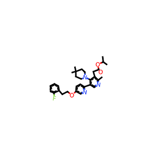 Cc1ncc(-c2ccc(OCCc3ccccc3F)cn2)c(N2CCC(C)(C)CC2)c1CC(=O)OC(C)C